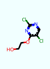 OCCOc1nc(Cl)ncc1Cl